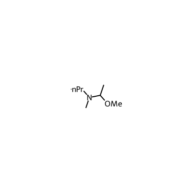 CC[CH]N(C)C(C)OC